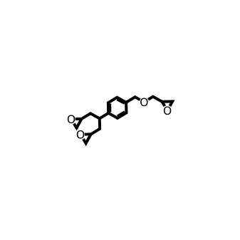 c1cc(C(CC2CO2)CC2CO2)ccc1COCC1CO1